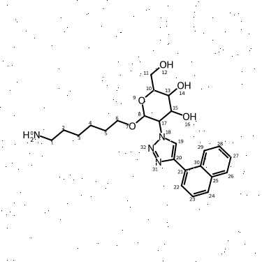 NCCCCCCOC1OC(CO)C(O)C(O)C1n1cc(-c2cccc3ccccc23)nn1